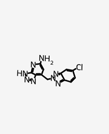 Nc1cc(Cn2nc3ccc(Cl)cc3n2)c2nn[nH]c2n1